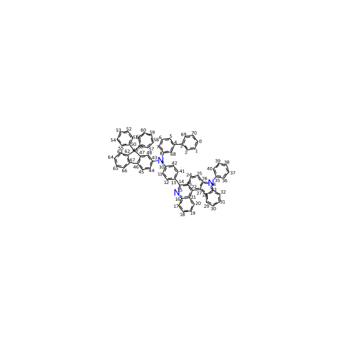 c1ccc(-c2cccc(N(c3ccc(-c4nc5ccccc5c5c4ccc4c5c5ccccc5n4-c4ccccc4)cc3)c3ccc4c(c3)C(c3ccccc3)(c3ccccc3)c3ccccc3-4)c2)cc1